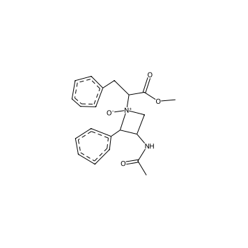 COC(=O)C(Cc1ccccc1)[N+]1([O-])CC(NC(C)=O)C1c1ccccc1